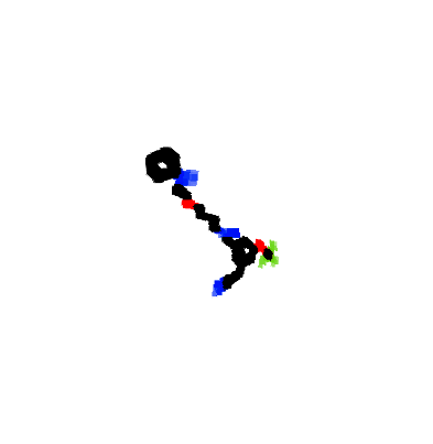 N#CCc1cc(CNCCCCOCCNc2ccccc2)cc(OC(F)(F)F)c1